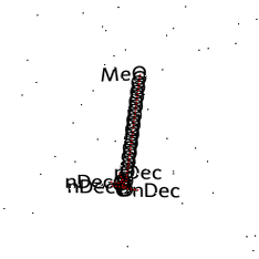 CCCCCCCCCCCCCCCCOP(=O)(CN(CCOCCOCCOCCOCCOCCOCCOCCOCCOCCOCCOCCOCCOCCOCCOCCOCCOCCOCCOCCOCCOCCOCCOCCOC)CP(=O)(OCCCCCCCCCCCCCCCC)OCCCCCCCCCCCCCCCC)OCCCCCCCCCCCCCCCC